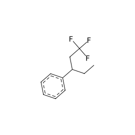 CCC(CC(F)(F)F)c1ccccc1